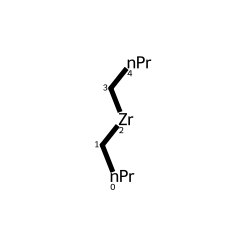 CCC[CH2][Zr][CH2]CCC